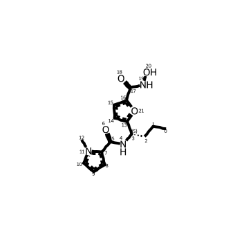 CCC[C@H](NC(=O)c1cccn1C)c1ccc(C(=O)NO)o1